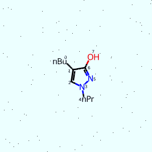 CCCCc1cn(CCC)nc1O